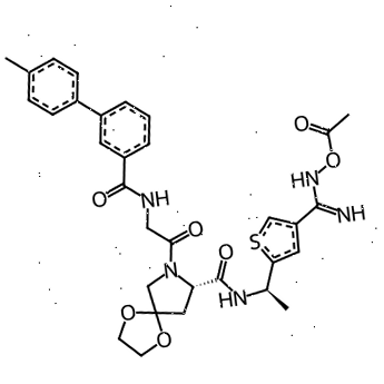 CC(=O)ONC(=N)c1csc([C@@H](C)NC(=O)[C@@H]2CC3(CN2C(=O)CNC(=O)c2cccc(-c4ccc(C)cc4)c2)OCCO3)c1